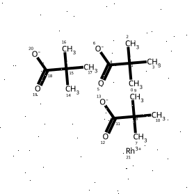 CC(C)(C)C(=O)[O-].CC(C)(C)C(=O)[O-].CC(C)(C)C(=O)[O-].[Rh+3]